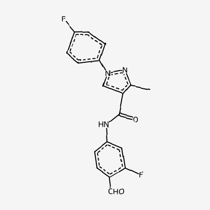 Cc1nn(-c2ccc(F)cc2)cc1C(=O)Nc1ccc(C=O)c(F)c1